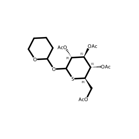 CC(=O)OC[C@H]1SC(OC2CCCCO2)[C@H](OC(C)=O)[C@@H](OC(C)=O)[C@@H]1OC(C)=O